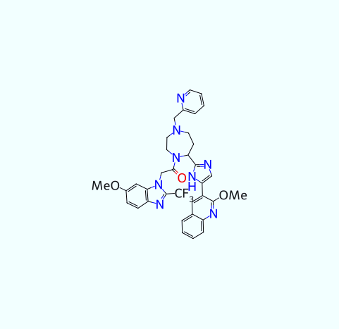 COc1ccc2nc(C(F)(F)F)n(CC(=O)N3CCN(Cc4ccccn4)CCC3c3ncc(-c4cc5ccccc5nc4OC)[nH]3)c2c1